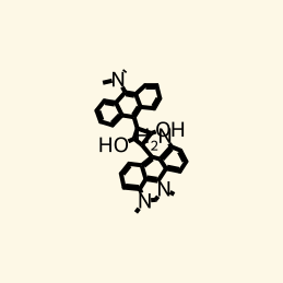 CN(C)c1c2ccccc2c(C2C(O)C(c3c4cccc5c4c(c4cccc(N)c34)N(C)CN5C)C2O)c2ccccc12